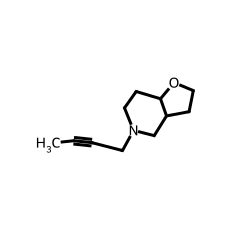 CC#CCN1CCC2OCCC2C1